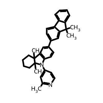 Cc1cc(N2c3ccc(-c4ccc5c(c4)C(C)(C)c4ccccc4-5)cc3C3(C)CCCCC23C)ccn1